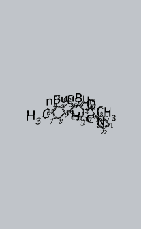 CCCCC1(CCCC)c2cc(C)ccc2-c2ccc(C(=O)C(C)(C)n3cccc3)cc21